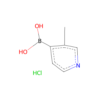 Cc1cnccc1B(O)O.Cl